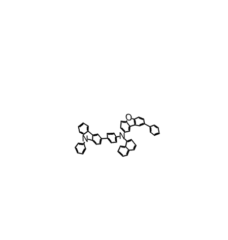 c1ccc(-c2ccc3oc4ccc(N(c5ccc(-c6ccc7c(c6)c6ccccc6n7-c6ccccc6)cc5)c5cccc6ccccc56)cc4c3c2)cc1